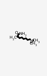 C=C(CCCCCCN(C)C)C(N)=O